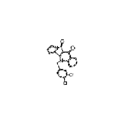 O=C1c2c(n(Cc3ccc(Cl)c(Cl)c3)c3ccccc3c2=O)-c2cccn21